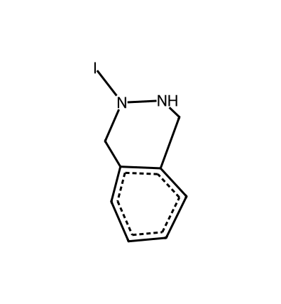 IN1Cc2ccccc2CN1